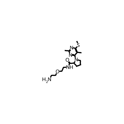 CSc1nc(C)nc(N2CCCC2C(=O)NCCOCCN)c1C